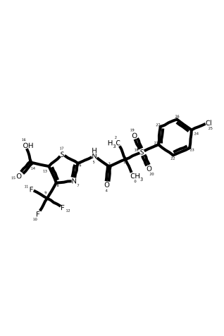 CC(C)(C(=O)Nc1nc(C(F)(F)F)c(C(=O)O)s1)S(=O)(=O)c1ccc(Cl)cc1